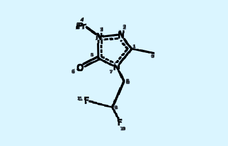 Cc1nn(C(C)C)c(=O)n1CC(F)F